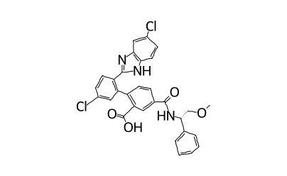 COC[C@@H](NC(=O)c1ccc(-c2cc(Cl)ccc2-c2nc3cc(Cl)ccc3[nH]2)c(C(=O)O)c1)c1ccccc1